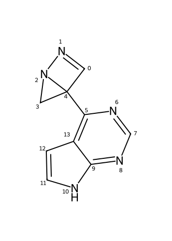 C1=NN2CC12c1ncnc2[nH]ccc12